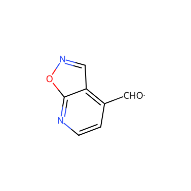 O=[C]c1ccnc2oncc12